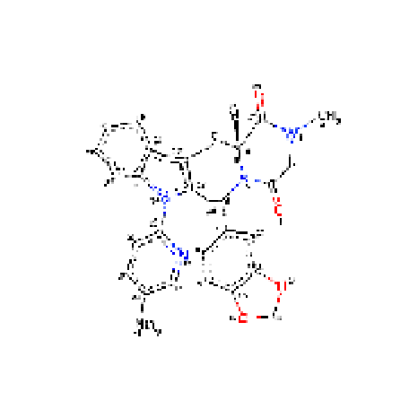 CN1CC(=O)N2[C@H](c3ccc4c(c3)OCO4)c3c(c4ccccc4n3-c3ccc([N+](=O)[O-])cn3)C[C@@H]2C1=O